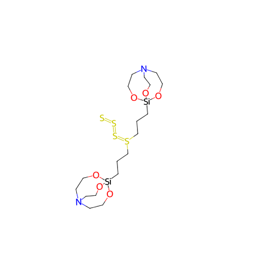 S=S=S=S(CCC[Si]12OCCN(CCO1)CCO2)CCC[Si]12OCCN(CCO1)CCO2